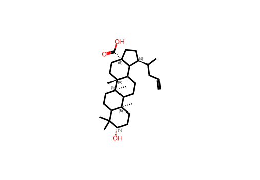 C=CCC(C)[C@@H]1CC[C@]2(C(=O)O)CC[C@]3(C)C(CCC4[C@@]5(C)CC[C@H](O)C(C)(C)C5CC[C@]43C)C12